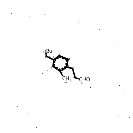 CCC(C)Cc1ccc(CCC=O)c(C)c1